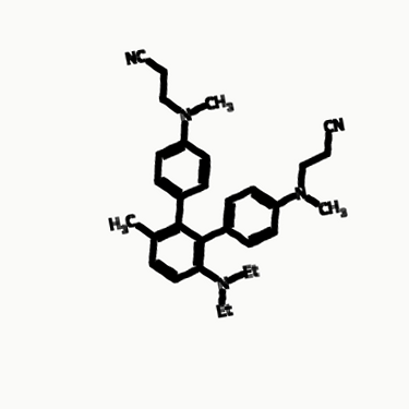 CCN(CC)c1ccc(C)c(-c2ccc(N(C)CCC#N)cc2)c1-c1ccc(N(C)CCC#N)cc1